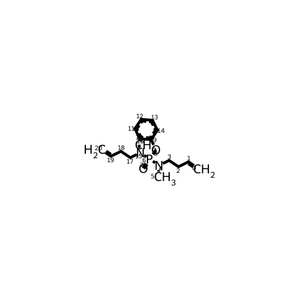 C=CCCN(C)P(=O)(Oc1ccccc1)N(C)CCC=C